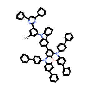 FC(F)(F)c1cc(-c2nc(-c3ccccc3)cc(-c3ccccc3)n2)cc(-n2c3ccccc3c3cc(-c4cc5c6c(c4)N(c4ccc(-c7ccccc7)cc4)c4ccc(-c7ccccc7)cc4B6c4cc(-c6ccccc6)ccc4N5c4ccc(-c5ccccc5)cc4)ccc32)c1